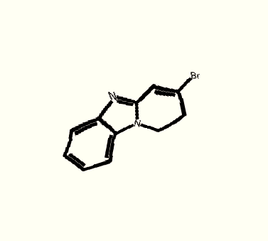 BrC1=Cc2nc3ccccc3n2CC1